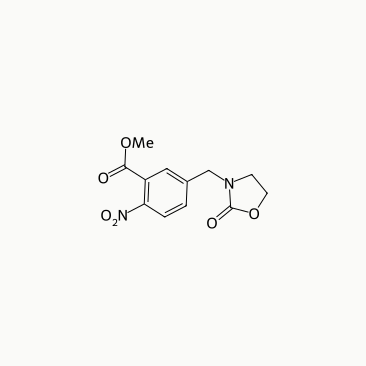 COC(=O)c1cc(CN2CCOC2=O)ccc1[N+](=O)[O-]